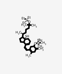 C=C1CC(C)=C(/C=C\C2=CCC[C@@]3(S)C2CCC3[C@@H](C)CCCC(C)(C)O[Si](CC)(CC)CC)CC1O[Si](C)(C)C(C)(C)C